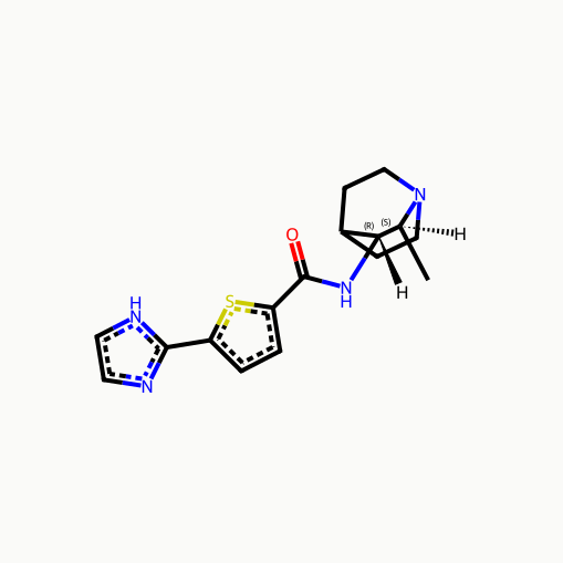 C[C@H]1[C@H](NC(=O)c2ccc(-c3ncc[nH]3)s2)C2CCN1CC2